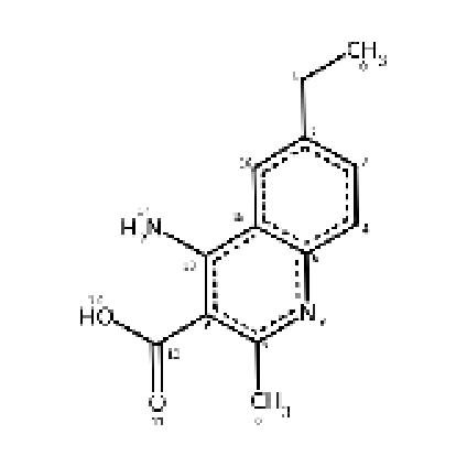 CCc1ccc2nc(C)c(C(=O)O)c(N)c2c1